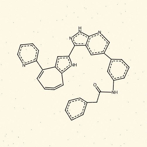 O=C(Cc1ccccc1)Nc1cccc(-c2cnc3[nH]nc(-c4cc5c([nH]4)C=C=CC=C5c4ccccn4)c3c2)c1